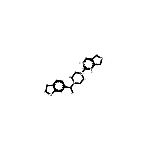 CC(c1ccc2c(c1)OCC2)N1CCN(c2ncc3c(n2)COC3)CC1